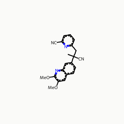 COc1cc2ccc(C(C)(C#N)Cc3cccc(C#N)n3)cc2nc1OC